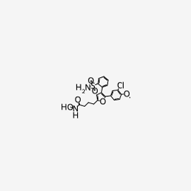 COc1ccc(-c2oc(CCCC(=O)NO)cc2-c2ccccc2S(N)(=O)=O)cc1Cl